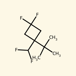 CC(C)(C)C1(C(F)F)CC(F)(F)C1